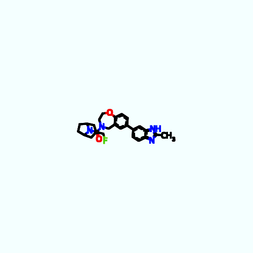 Cc1nc2ccc(-c3ccc4c(c3)CN(C(=O)N3C5CCC3CC(CF)C5)CCO4)cc2[nH]1